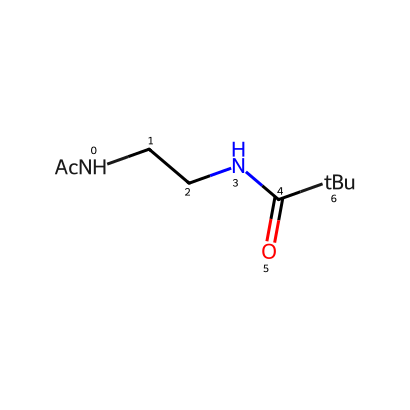 CC(=O)NCCNC(=O)C(C)(C)C